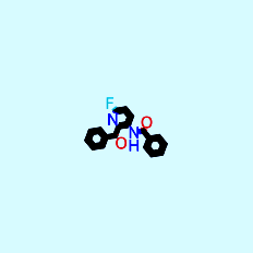 O=C(Nc1ccc(F)nc1C(=O)c1ccccc1)c1ccccc1